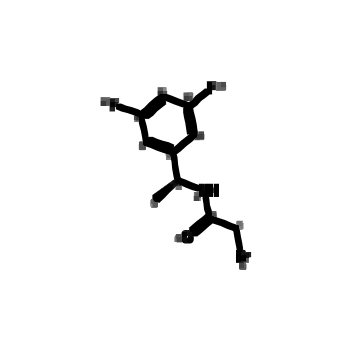 C[C@H](NC(=O)CBr)c1cc(F)cc(F)c1